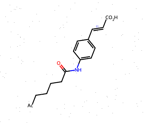 CC(=O)CCCCC(=O)Nc1ccc(/C=C/C(=O)O)cc1